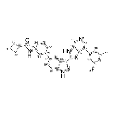 Cc1cc(F)cc(-c2cncc3[nH]c(-c4n[nH]c5ccc(-c6cncc(NC(=O)C7CCC7)c6)nc45)nc23)c1